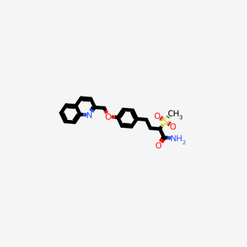 CS(=O)(=O)C(CCc1ccc(OCc2ccc3ccccc3n2)cc1)C(N)=O